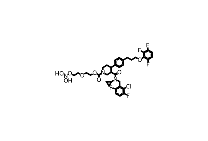 O=C(OCCOCCON(O)O)N1CCC(c2ccc(CCCOc3c(F)ccc(F)c3F)cc2)C(C(=O)N(Cc2c(F)ccc(F)c2Cl)C2CC2)C1